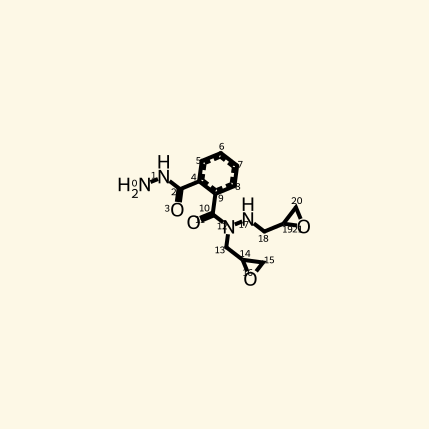 NNC(=O)c1ccccc1C(=O)N(CC1CO1)NCC1CO1